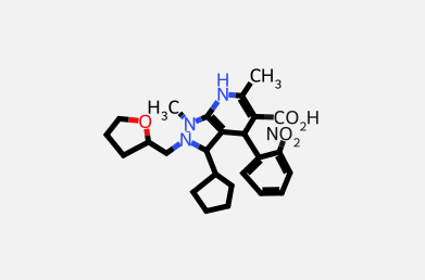 CC1=C(C(=O)O)C(c2ccccc2[N+](=O)[O-])C2=C(N1)N(C)N(CC1CCCO1)C2C1CCCC1